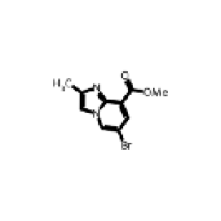 COC(=O)c1cc(Br)cn2cc(C)nc12